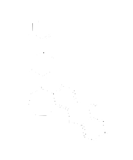 COc1ncccc1Nc1ncnc2c1OCCCN2C1CCN(C(=O)OC(C)(C)C)CC1